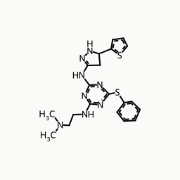 CN(C)CCNc1nc(NC2=NNC(c3cccs3)C2)nc(Sc2ccccc2)n1